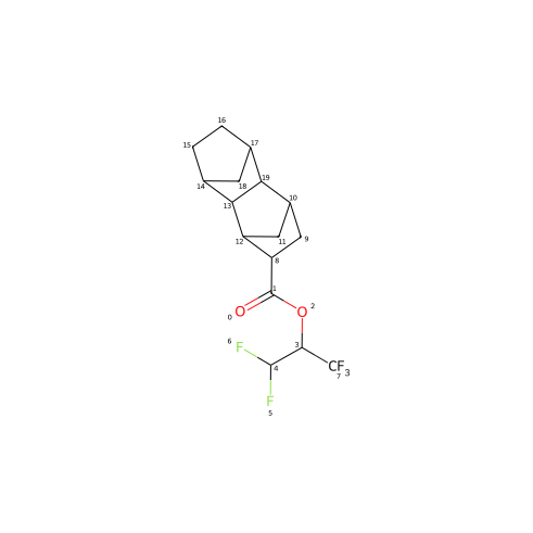 O=C(OC(C(F)F)C(F)(F)F)C1CC2CC1C1C3CCC(C3)C21